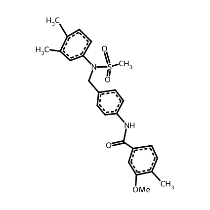 COc1cc(C(=O)Nc2ccc(CN(c3ccc(C)c(C)c3)S(C)(=O)=O)cc2)ccc1C